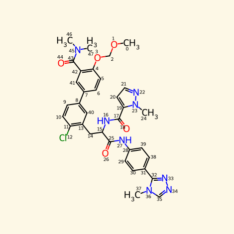 COCOc1ccc(-c2ccc(Cl)c(CC(NC(=O)c3ccnn3C)C(=O)Nc3ccc(-c4nncn4C)cc3)c2)cc1C(=O)N(C)C